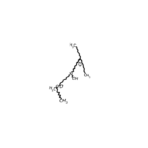 CCCCCCCCC(=CC(=O)CCCCCCCN(CCO)CCCCCCCC(=O)OC(C)CCCCCCCC)CCCCCCCC